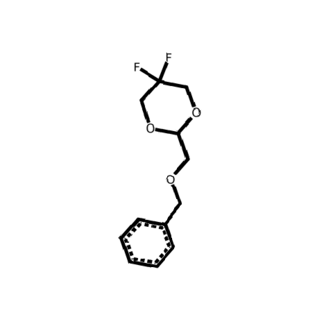 FC1(F)COC(COCc2ccccc2)OC1